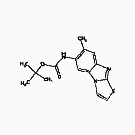 Cc1cc2nc3sccn3c2cc1NC(=O)OC(C)(C)C